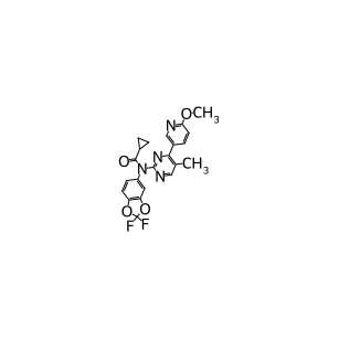 COc1ccc(-c2nc(N(C(=O)C3CC3)c3ccc4c(c3)OC(F)(F)O4)ncc2C)cn1